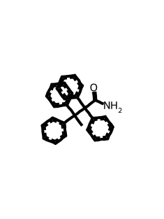 CC(c1ccccc1)(c1ccccc1)C(C(N)=O)(c1ccccc1)c1ccccc1